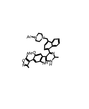 COc1cc2c3c([nH]c2cc1-c1c(C)noc1C)NC(C)N=C3c1ccc(CN2CCN(C(C)=O)CC2)c2ccccc12